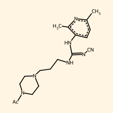 CC(=O)N1CCN(CCCN/C(=N/C#N)Nc2ccc(C)nc2C)CC1